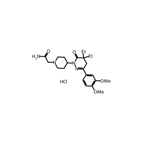 CCC1(CC)CC(c2ccc(OC)c(OC)c2)=NN(C2CCN(CC(N)=O)CC2)C1=O.Cl